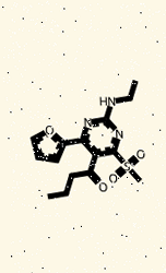 CCCC(=O)c1c(-c2ccco2)nc(NCC)nc1S(C)(=O)=O